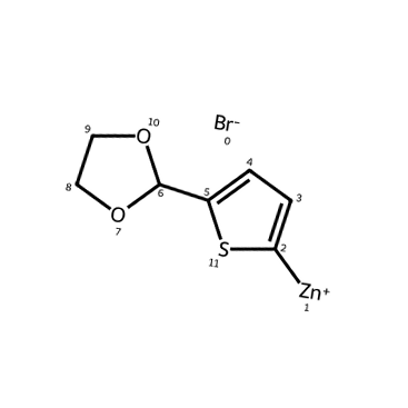 [Br-].[Zn+][c]1ccc(C2OCCO2)s1